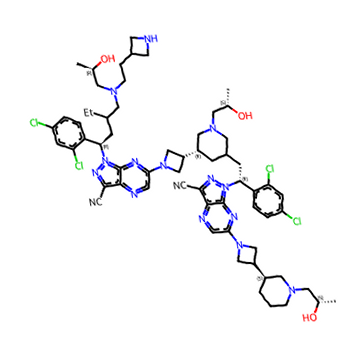 CCC(C[C@H](c1ccc(Cl)cc1Cl)n1nc(C#N)c2ncc(N3CC([C@H]4CC(C[C@H](c5ccc(Cl)cc5Cl)n5nc(C#N)c6ncc(N7CC([C@@H]8CCCN(C[C@H](C)O)C8)C7)nc65)CN(C[C@H](C)O)C4)C3)nc21)CN(CCC1CNC1)C[C@@H](C)O